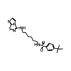 CC(C)(C)c1ccc(S(=O)(=O)NCCCCCCNc2nsc3nccn23)cc1